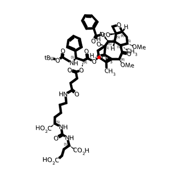 CO[C@H]1C(=O)[C@]2(C)[C@@H](OC)C[C@H]3OC[C@@]3(OC(C)=O)[C@H]2[C@H](OC(=O)c2ccccc2)[C@]2(O)C[C@H](OC(=O)[C@H](OC(=O)CCC(=O)NCCCC[C@H](NC(=O)N[C@@H](CCC(=O)O)C(=O)O)C(=O)O)[C@@H](NC(=O)OC(C)(C)C)c3ccccc3)C(C)=C1C2(C)C